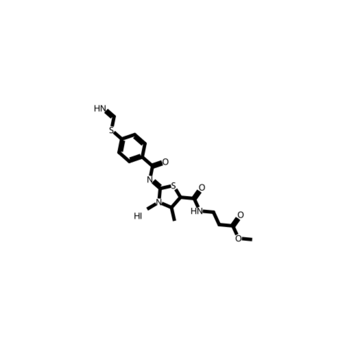 COC(=O)CCNC(=O)C1SC(=NC(=O)c2ccc(SC=N)cc2)N(C)C1C.I